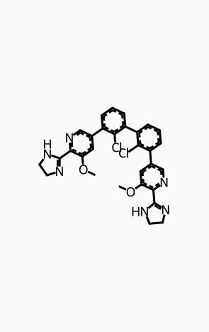 COc1cc(-c2cccc(-c3cccc(-c4cnc(C5=NCCN5)c(OC)c4)c3Cl)c2Cl)cnc1C1=NCCN1